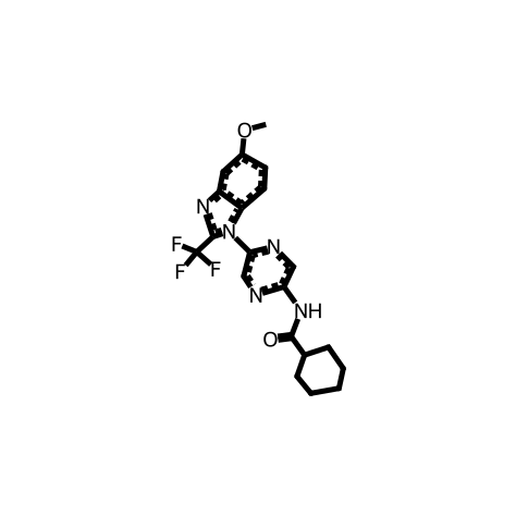 COc1ccc2c(c1)nc(C(F)(F)F)n2-c1cnc(NC(=O)C2CCCCC2)cn1